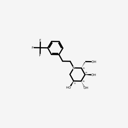 OC[C@@H]1[C@@H](O)[C@H](O)[C@@H](O)CN1CCc1cccc(C(F)(F)F)c1